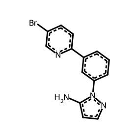 Nc1ccnn1-c1cccc(-c2ccc(Br)cn2)c1